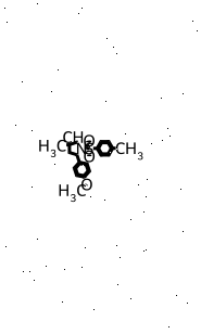 COc1ccc(C2CC(C)(C)CN2S(=O)(=O)c2ccc(C)cc2)cc1